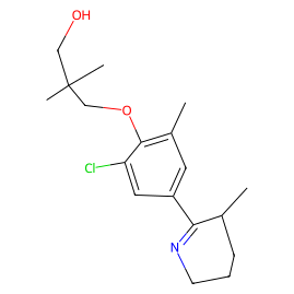 Cc1cc(C2=NCCCC2C)cc(Cl)c1OCC(C)(C)CO